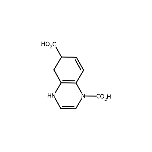 O=C(O)C1C=CC2=C(C1)NC=CN2C(=O)O